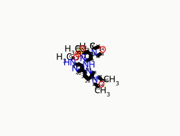 CC(=O)Nc1cc(Nc2cc(N3CCOC[C@H]3C)cc(S(C)(=O)=O)n2)c(-c2ccc(N3C[C@@H](C)O[C@@H](C)C3)cn2)cn1